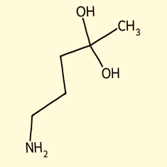 CC(O)(O)CCCN